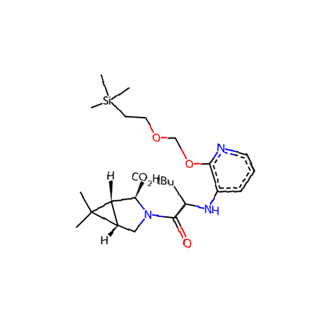 CC(C)(C)C(Nc1cccnc1OCOCC[Si](C)(C)C)C(=O)N1C[C@H]2[C@@H]([C@H]1C(=O)O)C2(C)C